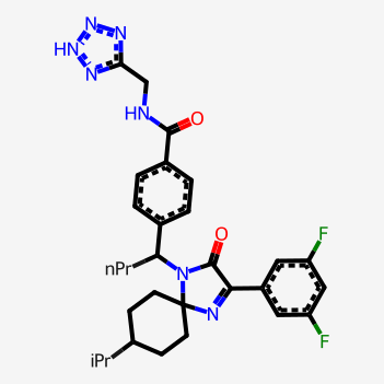 CCCC(c1ccc(C(=O)NCc2nn[nH]n2)cc1)N1C(=O)C(c2cc(F)cc(F)c2)=NC12CCC(C(C)C)CC2